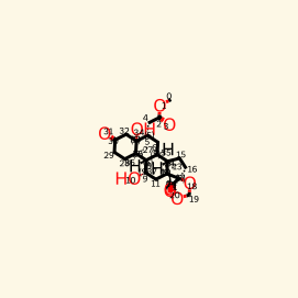 COC(=O)C[C@@H]1C[C@@H]2[C@H]([C@@H](O)C[C@@]3(C)[C@H]2CC[C@@]32OCOC23COCO3)[C@@]2(C)CCC(=O)C[C@]12O